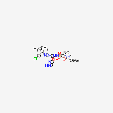 COCC[C@@H]1COc2cc(S(=O)(=O)NC(=O)c3ccc(N4CCN(CC5=C(c6ccc(Cl)cc6)CC(C)(C)CC5)CC4)cc3Oc3cnc4[nH]ccc4c3)cc([N+](=O)[O-])c2N1